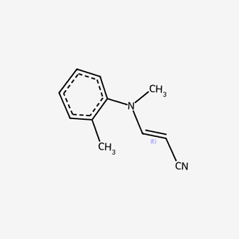 Cc1ccccc1N(C)/C=C/C#N